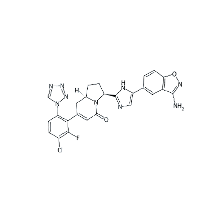 Nc1noc2ccc(-c3cnc([C@@H]4CC[C@@H]5CC(c6c(-n7cnnn7)ccc(Cl)c6F)=CC(=O)N54)[nH]3)cc12